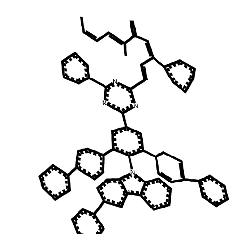 C=C(/C=C(\C=C\c1nc(-c2ccccc2)nc(-c2cc(-c3ccc(-c4ccccc4)cc3)c(-n3c4ccccc4c4cc(-c5ccccc5)ccc43)c(C3C=CC(c4ccccc4)=CC3)c2)n1)c1ccccc1)/C(C)=C/C=C\C